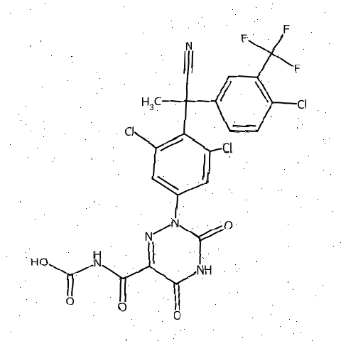 CC(C#N)(c1ccc(Cl)c(C(F)(F)F)c1)c1c(Cl)cc(-n2nc(C(=O)NC(=O)O)c(=O)[nH]c2=O)cc1Cl